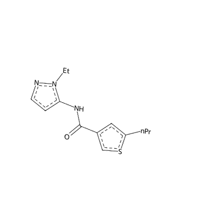 CCCc1cc(C(=O)Nc2ccnn2CC)cs1